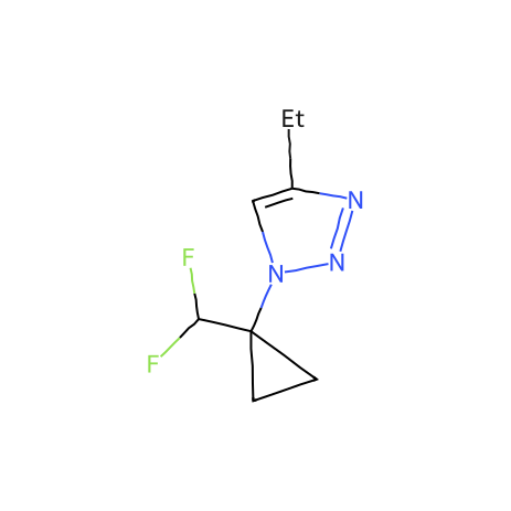 CCc1cn(C2(C(F)F)CC2)nn1